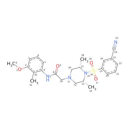 COc1cccc(NC(=O)CN2C[C@@H](C)N(S(=O)(=O)c3cccc(C#N)c3)[C@@H](C)C2)c1C